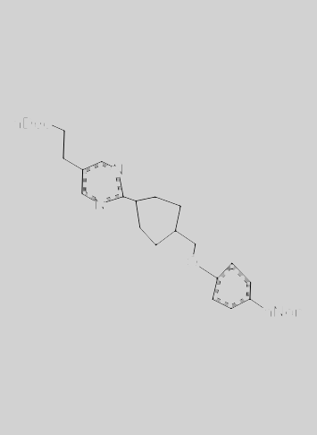 CCCCCCCCCCCCc1cnc(C2CCC(COc3ccc(CCCCCCCCC)cc3)CC2)nc1